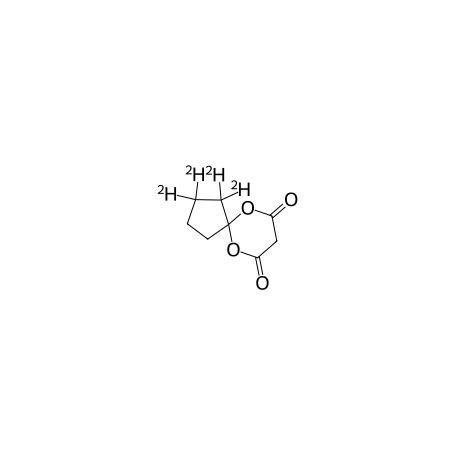 [2H]C1([2H])CCC2(OC(=O)CC(=O)O2)C1([2H])[2H]